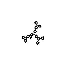 CC1(C)c2cc(N(c3ccc(-c4cc(-c5ccccc5)cc(-c5ccccc5)c4)cc3)c3ccc(-c4ccc5c(c4)c4ccccc4n5-c4ccccc4)cc3)ccc2-c2ccc(-n3c4ccccc4c4ccccc43)cc21